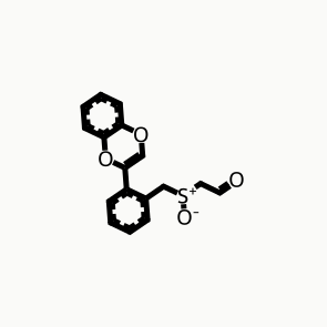 O=CC[S+]([O-])Cc1ccccc1C1=COc2ccccc2O1